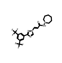 O=C(C=Cn1cnc(-c2cc(C(F)(F)F)cc(C(F)(F)F)c2)n1)NN1CCCCCC1